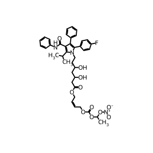 CC(OC(=O)OC/C=C\COC(=O)CC(O)CC(O)CCn1c(-c2ccc(F)cc2)c(-c2ccccc2)c(C(=O)Nc2ccccc2)c1C(C)C)O[N+](=O)[O-]